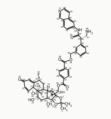 CC1(C)O[C@@H]2C[C@H]3[C@@H]4C[C@H](F)C5=CC(=O)C=C[C@]5(C)[C@@]4(F)[C@@H](O)C[C@]3(C)[C@]2(C(=O)COC(=O)c2ccc(C(=O)OCc3cccc([C@@H](CN)C(=O)Nc4ccc5cnccc5c4)c3)cc2)O1